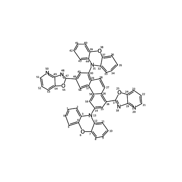 c1ccc2c(c1)Oc1ccccc1N2c1cc(-c2nc3ncccc3o2)c2ccc3c(N4c5ccccc5Oc5ccccc54)cc(-c4nc5ncccc5o4)cc3c2c1